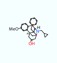 COc1ccc2c(c1)[C@]13CCN(CC4CC4)[C@H](C2)[C@]1(Cc1ccccc1)CC[C@@H](O)C3